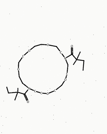 CCC(C)(C)C(=O)N1CCOCCOCCOCCN(C(=O)C(C)(C)CC)CCOCCOCC1